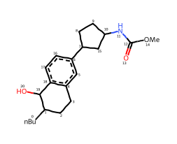 CCCCC1CCc2cc(C3CCC(NC(=O)OC)C3)ccc2C1O